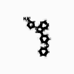 BN1CC[C@@H](n2nc(-c3ccc(Oc4ccccc4)cc3)c3cncnc32)C1